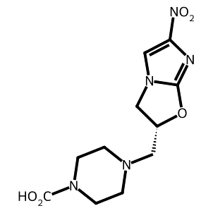 O=C(O)N1CCN(C[C@@H]2Cn3cc([N+](=O)[O-])nc3O2)CC1